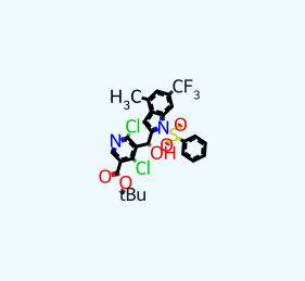 Cc1cc(C(F)(F)F)cc2c1cc(C(O)c1c(Cl)ncc(C(=O)OC(C)(C)C)c1Cl)n2S(=O)(=O)c1ccccc1